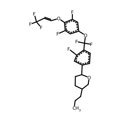 CCCC1CCC(c2ccc(C(F)(F)Oc3cc(F)c(O/C=C/C(F)(F)F)c(F)c3)c(F)c2)OC1